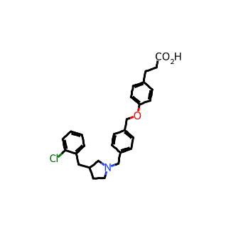 O=C(O)CCc1ccc(OCc2ccc(CN3CCC(Cc4ccccc4Cl)C3)cc2)cc1